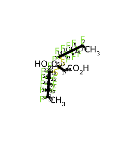 CC(F)C(F)(F)C(F)(F)C(F)(F)C(F)(F)SC(CC(=O)O)(SC(F)(F)C(F)(F)C(F)(F)C(F)(F)C(C)F)C(=O)O